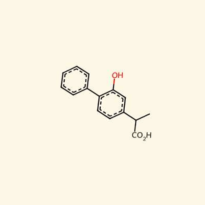 CC(C(=O)O)c1ccc(-c2ccccc2)c(O)c1